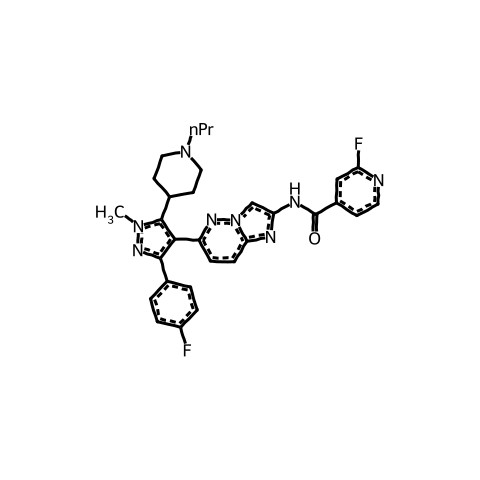 CCCN1CCC(c2c(-c3ccc4nc(NC(=O)c5ccnc(F)c5)cn4n3)c(-c3ccc(F)cc3)nn2C)CC1